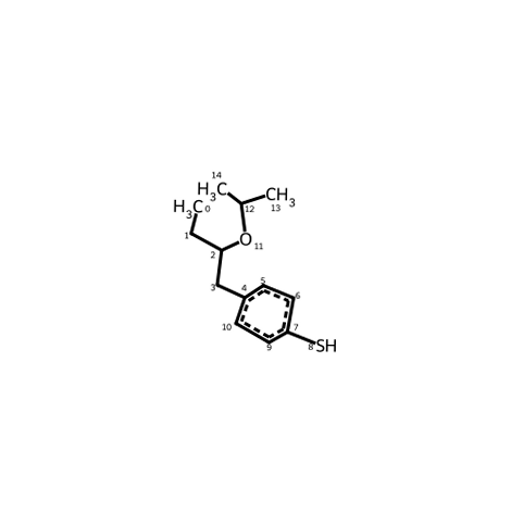 CCC(Cc1ccc(S)cc1)OC(C)C